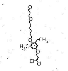 CCc1cc(OCC=C(Cl)Cl)cc(C)c1OCCCCCCOCCC=O